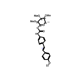 CCOc1ccc(/C=C/c2ccc(NC(=O)O[C@@H]3O[C@@H](C)[C@H](OC)[C@@H](OC)[C@H]3OC)cc2)cc1